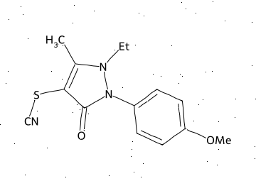 CCn1c(C)c(SC#N)c(=O)n1-c1ccc(OC)cc1